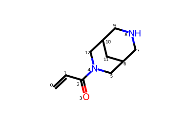 C=CC(=O)N1CC2CNCC(C2)C1